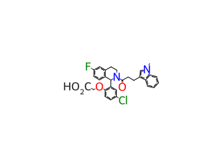 Cn1cc(CCC(=O)N2CCc3cc(F)ccc3C2c2cc(Cl)ccc2OCC(=O)O)c2ccccc21